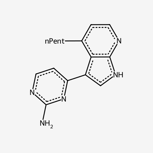 CCCCCc1ccnc2[nH]cc(-c3ccnc(N)n3)c12